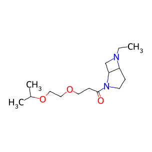 CCN1CC2C1CCN2C(=O)CCOCCOC(C)C